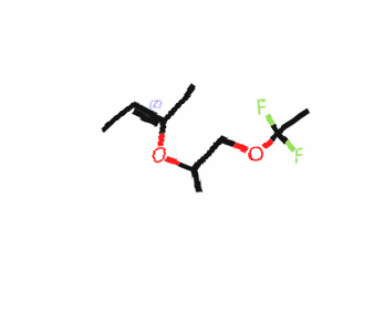 C/C=C(/C)OC(C)COC(C)(F)F